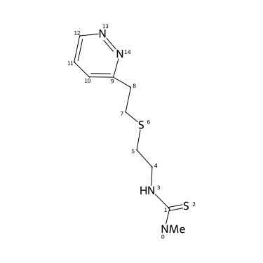 CNC(=S)NCCSCCc1cccnn1